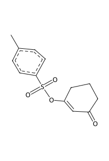 Cc1ccc(S(=O)(=O)OC2=CC(=O)CCC2)cc1